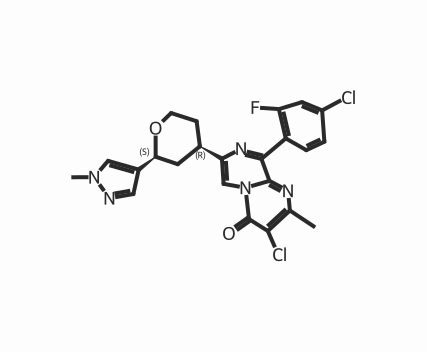 Cc1nc2c(-c3ccc(Cl)cc3F)nc([C@@H]3CCO[C@H](c4cnn(C)c4)C3)cn2c(=O)c1Cl